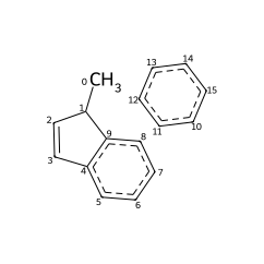 CC1C=Cc2ccccc21.c1ccccc1